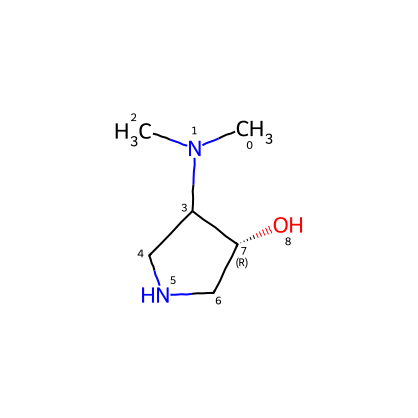 CN(C)C1CNC[C@H]1O